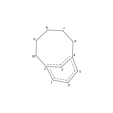 c1cc2cc(c1)CCCCC2